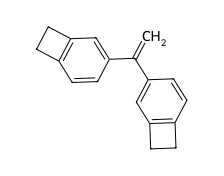 C=C(c1ccc2c(c1)CC2)c1ccc2c(c1)CC2